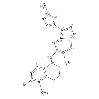 COc1c(Br)cnc2c1CCCC2Oc1cc2c(cnn2-c2cnn(C)c2)cc1C